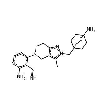 Cc1c2c(nn1CC13CCC(N)(CC1)CC3)CCN(c1ccnc(N)c1C=N)C2